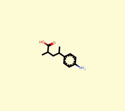 CC(CC(C)c1ccc(N)cc1)C(=O)O